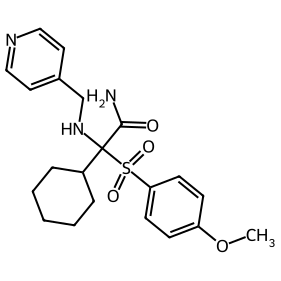 COc1ccc(S(=O)(=O)C(NCc2ccncc2)(C(N)=O)C2CCCCC2)cc1